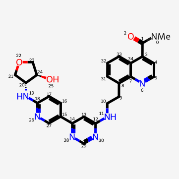 CNC(=O)c1ccnc2c(CCNc3cc(-c4ccc(N[C@@H]5COC[C@H]5O)nc4)ncn3)cccc12